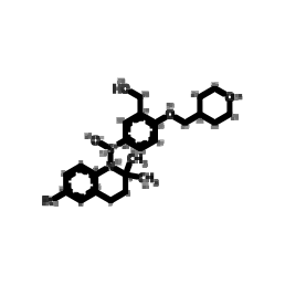 CCc1ccc2c(c1)CCC(C)(C)N2[S+]([O-])c1ccc(OCC2CCOCC2)c(CO)c1